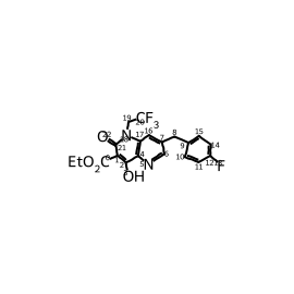 CCOC(=O)c1c(O)c2ncc(Cc3ccc(F)cc3)cc2n(CC(F)(F)F)c1=O